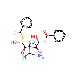 NC(N)C(C(=O)O)(C(=O)[C@@H](O)SC(=O)c1ccccc1)C(=O)[C@@H](O)SC(=O)c1ccccc1